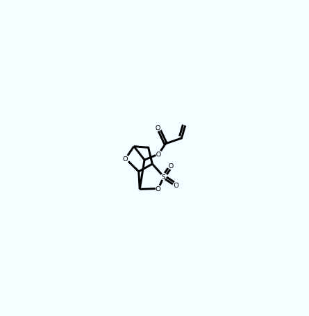 C=CC(=O)OC1C2CC3C(O2)C1OS3(=O)=O